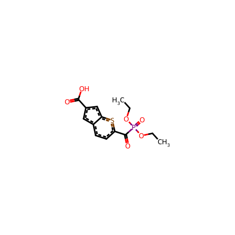 CCOP(=O)(OCC)C(=O)c1ccc2cc(C(=O)O)cc-2s1